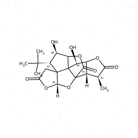 C[C@@H]1C(=O)OC2[C@H]1C13O[C@@H]4OC(=O)CC45[C@H](C(C)(C)C)[C@@H](O)C(OC1=O)C35[C@H]2O